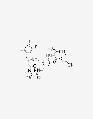 CC(C)C(Nc1ccc(CNC(=O)C2SCCN2C(=O)CC(N)Cc2cc(F)c(F)cc2F)cc1)C(=O)OCCO